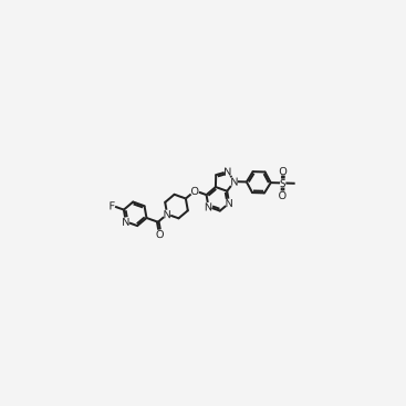 CS(=O)(=O)c1ccc(-n2ncc3c(OC4CCN(C(=O)c5ccc(F)nc5)CC4)ncnc32)cc1